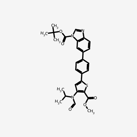 COC(=O)c1sc(-c2ccc(-c3ccc4ncn(C(=O)OC(C)(C)C)c4c3)cc2)cc1N(C=O)C(C)C